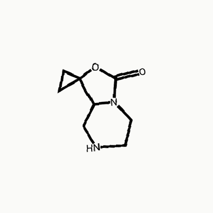 O=C1OC2(CC2)C2CNCCN12